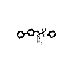 N[C@@H](Cc1ccc(-c2ccccc2)cc1)C(=O)Oc1ccccc1